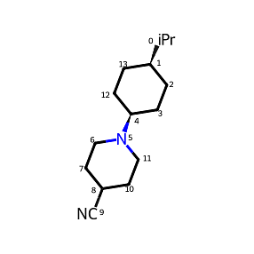 CC(C)[C@H]1CC[C@@H](N2CCC(C#N)CC2)CC1